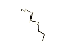 FCCOP=NP